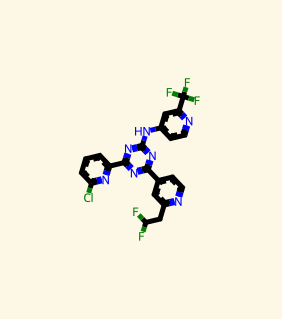 FC(F)Cc1cc(-c2nc(Nc3ccnc(C(F)(F)F)c3)nc(-c3cccc(Cl)n3)n2)ccn1